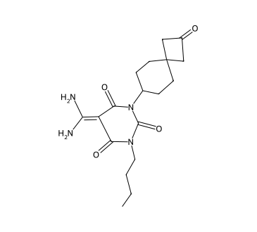 CCCCN1C(=O)C(=C(N)N)C(=O)N(C2CCC3(CC2)CC(=O)C3)C1=O